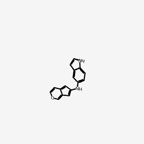 c1cc2cc(Nc3cc4ccocc-4c3)ccc2[nH]1